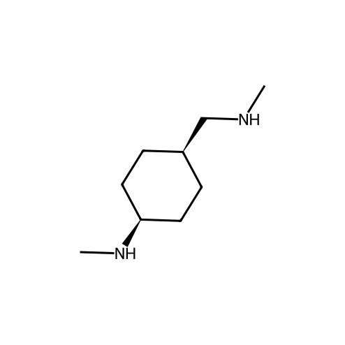 CNC[C@H]1CC[C@@H](NC)CC1